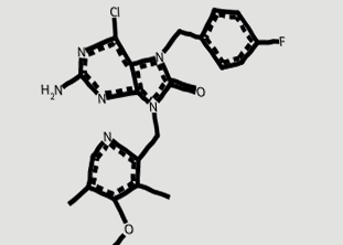 COc1c(C)cnc(Cn2c(=O)n(Cc3ccc(F)cc3)c3c(Cl)nc(N)nc32)c1C